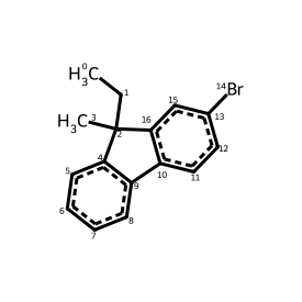 CCC1(C)c2ccccc2-c2ccc(Br)cc21